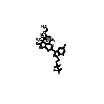 CCOC(=O)C(C)(C)C1(C)C(=O)Nc2nc(-c3nn(CCC(F)(F)C(F)(F)F)c4ncc(F)cc34)nc(N)c21